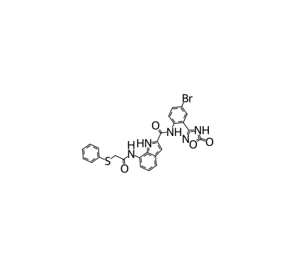 O=C(CSc1ccccc1)Nc1cccc2cc(C(=O)Nc3ccc(Br)cc3-c3noc(=O)[nH]3)[nH]c12